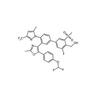 Cc1nc(-c2cc(-c3cc(F)c(CO)c(S(C)(=O)=O)c3)ccc2-n2nc(C(F)(F)F)cc2C)c(-c2ccc(OC(F)F)cc2)o1